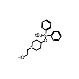 CC(C)(C)[Si](OC1CCN(CCO)CC1)(c1ccccc1)c1ccccc1